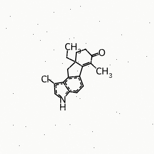 CCC12CCC(=O)C(C)=C1c1ccc3[nH]cc(Cl)c3c1C2